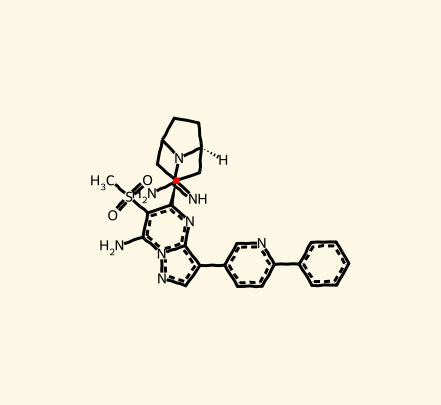 CS(=O)(=O)c1c([C@H]2CC3CC[C@@H](C2)N3C(=N)N)nc2c(-c3ccc(-c4ccccc4)nc3)cnn2c1N